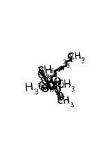 CCCCC#CCCCc1c(OC)c(OCOC)cc(OC)c1OCOC